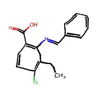 CCc1c(Cl)ccc(C(=O)O)c1N=Cc1ccccc1